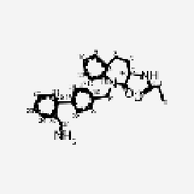 CCC(=O)N[C@@H]1CCc2ccccc2N(Cc2ccc(-c3ccccc3CN)cc2)C1=O